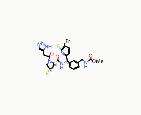 COC(=O)NCc1cccc([C@H](NC(=O)[C@@H]2C[C@@H](F)CN2C(=O)Cc2cnn[nH]2)c2ccc(C(C)C)c(F)n2)c1